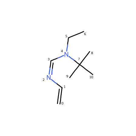 C=C/N=C\N(CC)C(C)(C)C